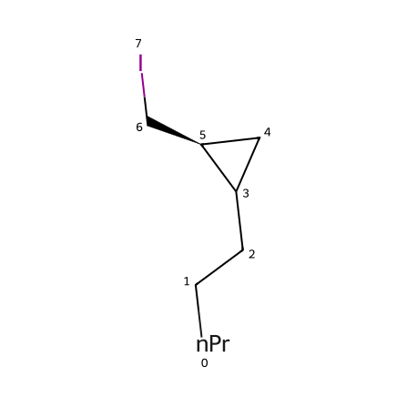 CCCCCC1C[C@@H]1CI